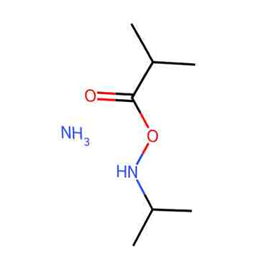 CC(C)NOC(=O)C(C)C.N